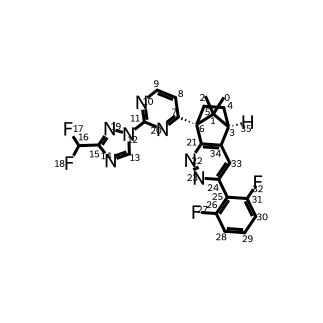 CC1(C)[C@H]2CC[C@]1(c1ccnc(-n3cnc(C(F)F)n3)n1)c1nnc(-c3c(F)cccc3F)cc12